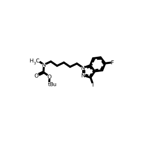 CN(CCCCCn1nc(I)c2cc(F)ccc21)C(=O)OC(C)(C)C